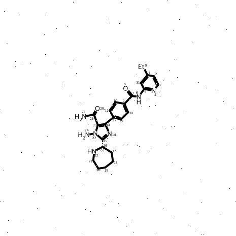 CCc1ccnc(NC(=O)c2ccc(-c3nc([C@@H]4CCCCCN4)n(N)c3C(N)=O)cc2)c1